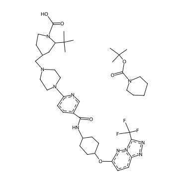 CC(C)(C)C1CC(CN2CCN(c3ccc(C(=O)NC4CCC(Oc5ccc6nnc(C(F)(F)F)n6n5)CC4)cn3)CC2)CCN1C(=O)O.CC(C)(C)OC(=O)N1CCCCC1